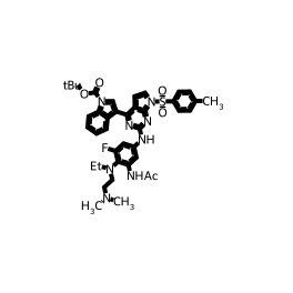 CCN(CCN(C)C)c1c(F)cc(Nc2nc(-c3cn(C(=O)OC(C)(C)C)c4ccccc34)c3ccn(S(=O)(=O)c4ccc(C)cc4)c3n2)cc1NC(C)=O